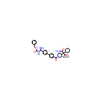 COC(=O)C(C(N)=O)(C1CCCCC1)C1CCN(C(=O)c2ccc(-c3ccc(C(=N)NC(=O)OCc4ccccc4)cc3)cc2)CC1